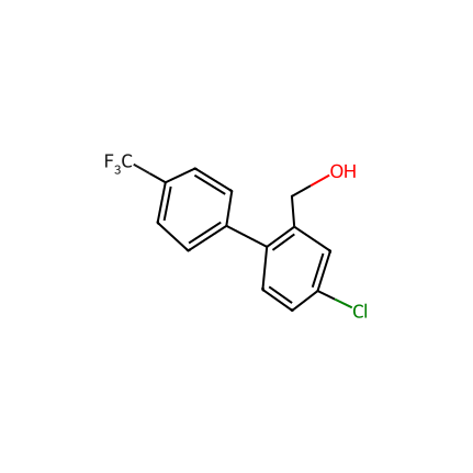 OCc1cc(Cl)ccc1-c1ccc(C(F)(F)F)cc1